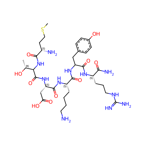 CSCC[C@H](N)C(=O)NC(C(=O)N[C@@H](CC(=O)O)C(=O)N[C@@H](CCCCN)C(=O)NC(Cc1ccc(O)cc1)C(=O)N[C@@H](CCCNC(=N)N)C(N)=O)[C@@H](C)O